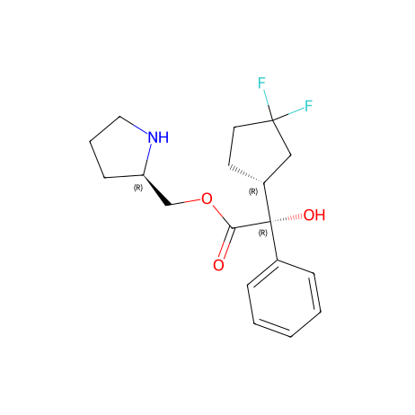 O=C(OC[C@H]1CCCN1)[C@](O)(c1ccccc1)[C@@H]1CCC(F)(F)C1